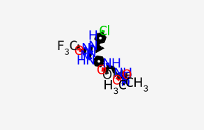 COC(=O)C(CCNC(=O)C(=O)N(C)C)Nc1ccc(Nc2nc(NC3(c4ccc(Cl)cc4)CC3)nc(OCC(F)(F)F)n2)cc1